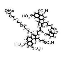 COCCOCCOCCOCCOCC[N+]1=C(/C=C/C(C)=C/C=C2/N(CCCC(=O)ON3C(=O)CCC3=O)c3ccc4c(S(=O)(=O)O)cc(S(=O)(=O)O)cc4c3C2(C)C)C(C)(CCCS(=O)(=O)O)c2c1ccc1c(S(=O)(=O)O)cc(S(=O)(=O)O)cc21